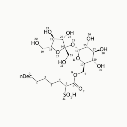 CCCCCCCCCCCCCCC(C(=O)OC[C@H]1O[C@H](O[C@]2(CO)O[C@H](CO)[C@@H](O)[C@@H]2O)[C@H](O)[C@@H](O)[C@@H]1O)S(=O)(=O)O